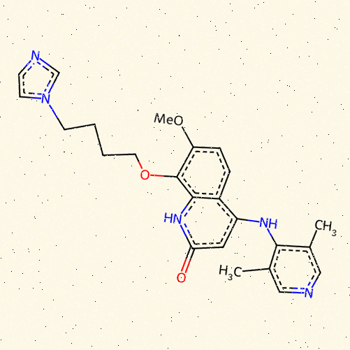 COc1ccc2c(Nc3c(C)cncc3C)cc(=O)[nH]c2c1OCCCCn1ccnc1